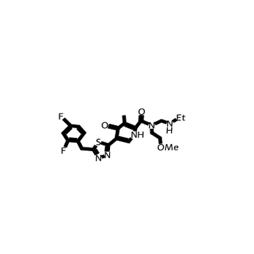 CCNCN(CCOC)C(=O)c1[nH]cc(-c2nnc(Cc3ccc(F)cc3F)s2)c(=O)c1C